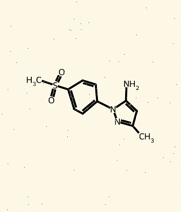 Cc1cc(N)n(-c2ccc(S(C)(=O)=O)cc2)n1